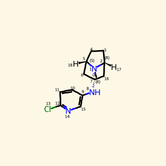 CN1[C@@H]2CC[C@H]1C[C@@H](Nc1ccc(Cl)nc1)C2